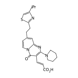 CC(C)c1csc(CCc2ccn3c(=O)c(C=CC(=O)O)c(N4CCCCC4)nc3c2)n1